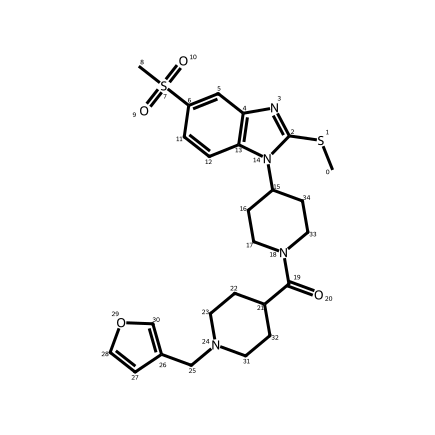 CSc1nc2cc(S(C)(=O)=O)ccc2n1C1CCN(C(=O)C2CCN(Cc3ccoc3)CC2)CC1